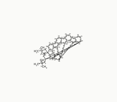 C[Si](C)(C)CC12C=CC3(C[Si](C)(C)C)c4ccc5c6ccc7c8ccc9c%10ccc1c1c%11c2c3c2c4c5c3c6c7c4c8c9c(c%101)c1c%11c2c3c41